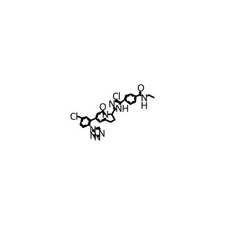 CCNC(=O)c1ccc(-c2[nH]c(C3CCc4cc(-c5cc(Cl)ccc5-n5cnnn5)cc(=O)n43)nc2Cl)cc1